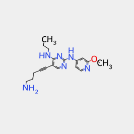 CCCNc1nc(Nc2ccnc(OC)c2)ncc1C#CCCCN